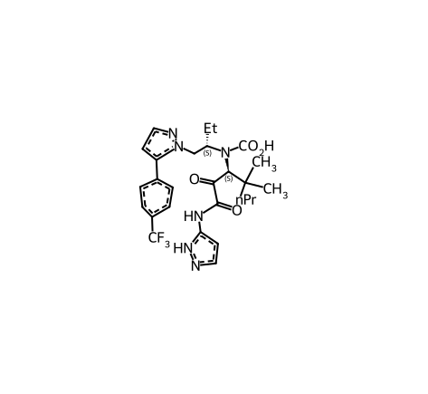 CCCC(C)(C)[C@@H](C(=O)C(=O)Nc1ccn[nH]1)N(C(=O)O)[C@@H](CC)Cn1nccc1-c1ccc(C(F)(F)F)cc1